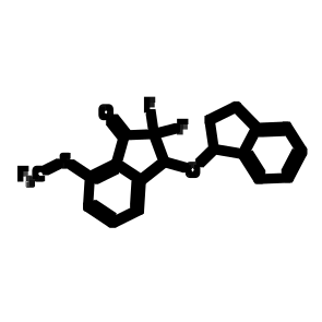 O=C1c2c(SC(F)(F)F)cccc2C(OC2CCc3ccccc32)C1(F)F